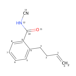 C=CCCc1ccccc1C(=O)NC#N